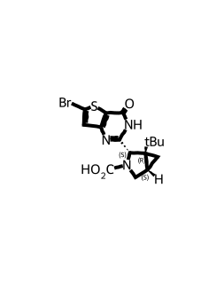 CC(C)(C)[C@@]12C[C@@H]1CN(C(=O)O)[C@@H]2c1nc2cc(Br)sc2c(=O)[nH]1